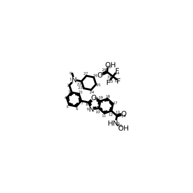 CN(Cc1cccc(-c2nc3cc(C(=O)NO)ccc3o2)c1)C1CCCCC1.O=C(O)C(F)(F)F